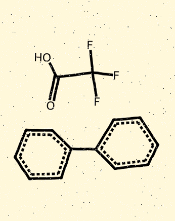 O=C(O)C(F)(F)F.c1ccc(-c2ccccc2)cc1